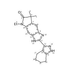 CCN1C(=O)C(C)(C)c2cc3nc(-c4n[nH]c5c4CSCC5)[nH]c3cc21